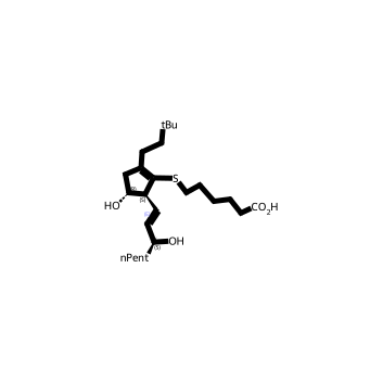 CCCCC[C@H](O)/C=C/[C@@H]1C(SCCCCCC(=O)O)=C(CCC(C)(C)C)C[C@H]1O